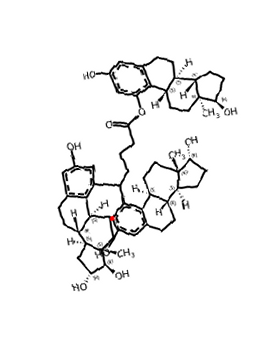 C[C@]12CC[C@@H]3c4c(cc(O)cc4OC(=O)CCCC(c4cc(O)cc5c4[C@H]4CC[C@]6(C)[C@H](O)CC[C@H]6[C@@H]4CC5)c4cc(O)cc5c4[C@H]4CC[C@]6(C)[C@@H](O)[C@H](O)C[C@H]6[C@@H]4CC5)CC[C@H]3[C@@H]1CC[C@H]2O